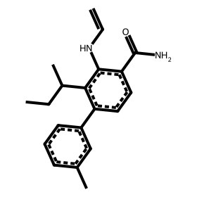 C=CNc1c(C(N)=O)ccc(-c2cccc(C)c2)c1C(C)CC